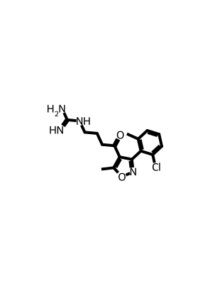 Cc1cccc(Cl)c1-c1noc(C)c1C(=O)CCCNC(=N)N